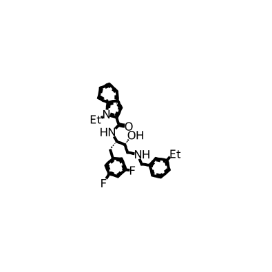 CCc1cccc(CNC[C@@H](O)[C@H](Cc2cc(F)cc(F)c2)NC(=O)c2cc3ccccc3n2CC)c1